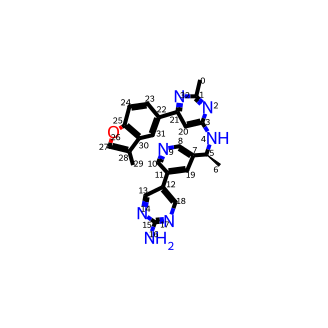 Cc1nc(N[C@@H](C)c2cncc(-c3cnc(N)nc3)c2)cc(-c2ccc3occ(C)c3c2)n1